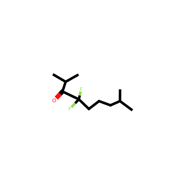 CC(C)CCCC(F)(F)C(=O)C(C)C